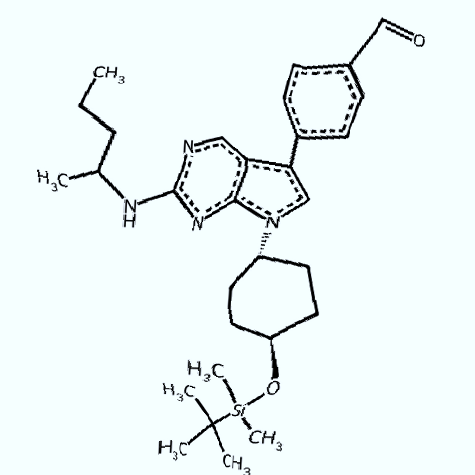 CCCC(C)Nc1ncc2c(-c3ccc(C=O)cc3)cn([C@H]3CC[C@H](O[Si](C)(C)C(C)(C)C)CC3)c2n1